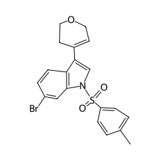 Cc1ccc(S(=O)(=O)n2cc(C3=CCOCC3)c3ccc(Br)cc32)cc1